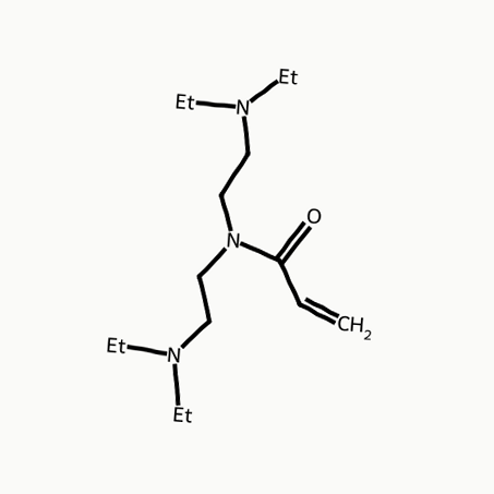 C=CC(=O)N(CCN(CC)CC)CCN(CC)CC